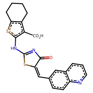 O=C1N=C(Nc2sc3c(c2C(=O)O)CCCC3)SC1=Cc1ccc2ncccc2c1